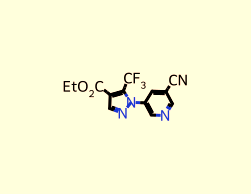 CCOC(=O)c1cnn(-c2cncc(C#N)c2)c1C(F)(F)F